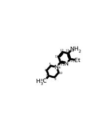 CCc1nc(N2CCC(C)CC2)ccc1N